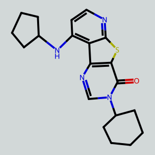 O=c1c2sc3nccc(NC4CCCC4)c3c2ncn1C1CCCCC1